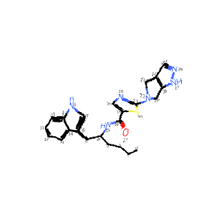 CCCCC(Cc1c[nH]c2ccccc12)NC(=O)c1cnc(N2Cc3cn[nH]c3C2)s1